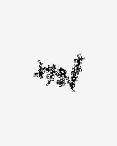 CCOC(=O)CC(SP(=S)(OC)OC)C(=O)OCC.CCOP(=S)(OCC)Oc1ccc([N+](=O)[O-])cc1.CCOP(=S)(OCC)SCSCC.COP(=O)(OC)O/C(C)=C/C(=O)N(C)C.COP(=S)(OC)SCN1C(=O)c2ccccc2C1=O